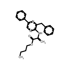 C=C(Nc1ncc(-c2ccccc2)nc1Cc1ccccc1)C(=O)OCCCC